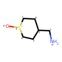 NCC1CC[S+]([O-])CC1